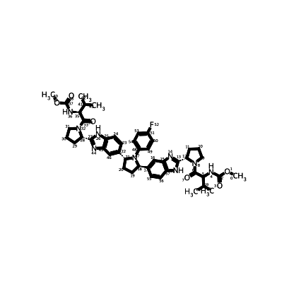 COC(=O)NC(C(=O)N1CCC[C@H]1c1nc2cc([C@H]3CC[C@H](c4ccc5[nH]c([C@@H]6CCCN6C(=O)[C@@H](NC(=O)OC)C(C)C)nc5c4)N3c3ccc(F)cc3)ccc2[nH]1)C(C)C